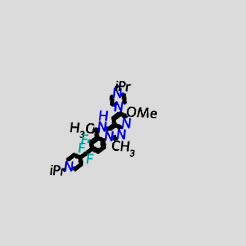 COc1nc2nc(C)nc(N[C@H](C)c3cccc(C(F)(F)C4CCN(C(C)C)CC4)c3F)c2cc1N1CCN(C(C)C)CC1